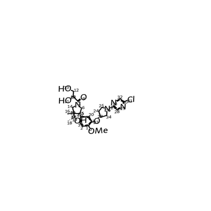 COc1ccc([C@@H]2CN(C(=O)[C@@H](O)CO)C[C@@]2(C)[C@@H](C)O)cc1OC1CCN(c2cnc(Cl)cn2)C1